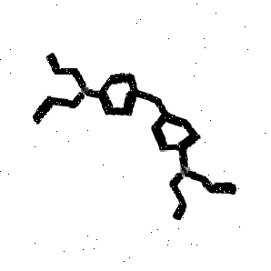 C=CCN(CC=C)c1ccc(Cc2ccc(N(CC=C)CC=C)cc2)cc1